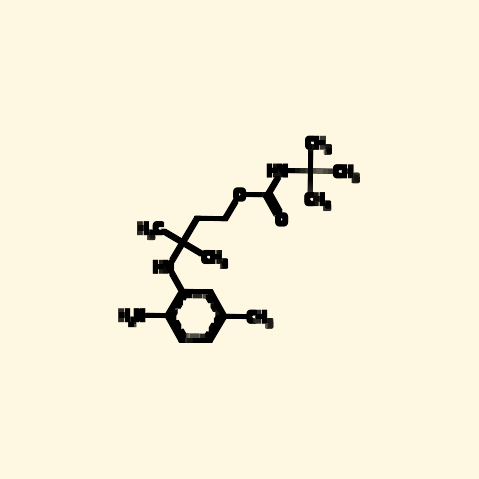 Cc1ccc(N)c(NC(C)(C)CCOC(=O)NC(C)(C)C)c1